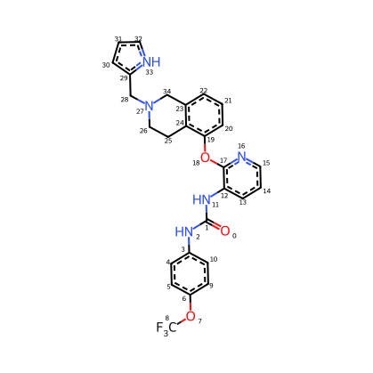 O=C(Nc1ccc(OC(F)(F)F)cc1)Nc1cccnc1Oc1cccc2c1CCN(Cc1ccc[nH]1)C2